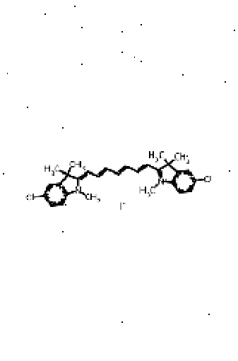 CN1C(=CC=CC=CC=CC2=[N+](C)c3ccc(Cl)cc3C2(C)C)C(C)(C)c2cc(Cl)ccc21.[I-]